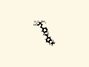 CC(N)(CO)CCc1ccc2oc(-c3ccc4c(c3)OC(F)(F)O4)nc2c1